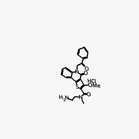 COc1c(C(=O)N(C)CCN)sc2c1c(=O)n(CC(=O)c1ccccc1)c1ccccc21.Cl